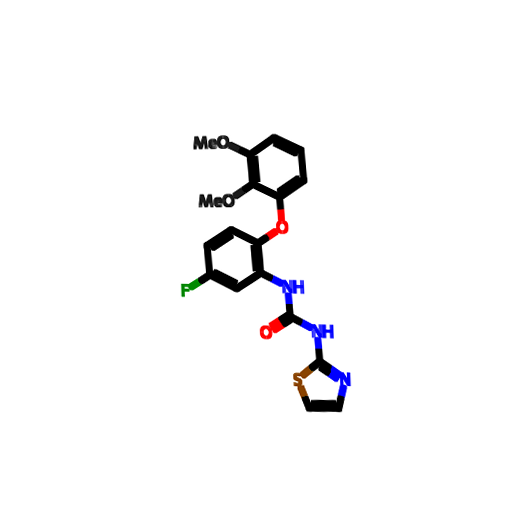 COc1cccc(Oc2ccc(F)cc2NC(=O)Nc2nccs2)c1OC